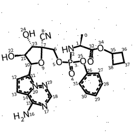 C[C@H](NP(=O)(OC[C@@]1(C#N)O[C@@H](c2ccc3c(N)ncnn23)[C@@H](O)[C@@H]1O)Oc1ccccc1)C(=O)OC1CCC1